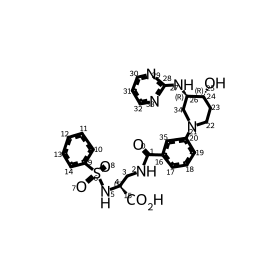 O=C(NC[C@H](NS(=O)(=O)c1ccccc1)C(=O)O)c1cccc(N2CC[C@@H](O)[C@H](Nc3ncccn3)C2)c1